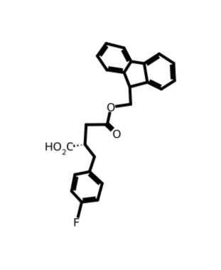 O=C(C[C@H](Cc1ccc(F)cc1)C(=O)O)OCC1c2ccccc2-c2ccccc21